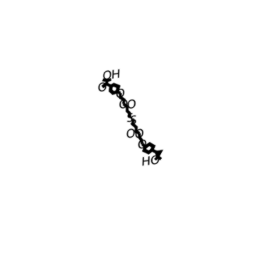 CC(C)(O)C(=O)c1ccc(OCCOC(=O)CCSSCCC(=O)OCCOc2ccc(C3=CC3(C)O)cc2)cc1